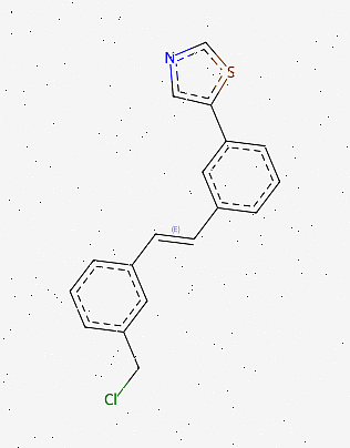 ClCc1cccc(/C=C/c2cccc(-c3cncs3)c2)c1